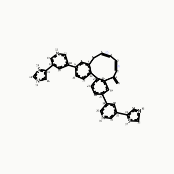 C=C1/C=C\C=C/Cc2cc(-c3cncc(-c4cncs4)c3)ccc2-c2ccc(-c3cncc(-c4cncs4)c3)cc21